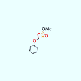 CO[PH](=O)OCOc1ccccc1